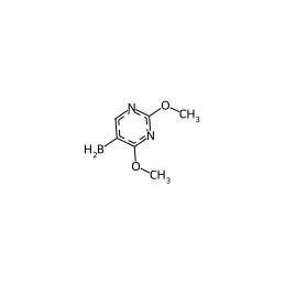 Bc1cnc(OC)nc1OC